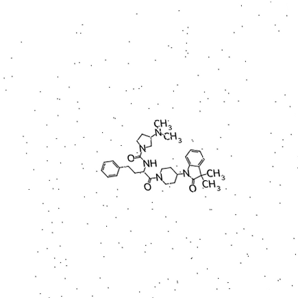 CN(C)C1CCN(C(=O)NC(CCc2ccccc2)C(=O)N2CCC(N3C(=O)C(C)(C)c4ccccc43)CC2)C1